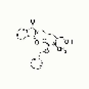 CN(C(=O)OCc1ccccc1)[C@H](CO)CCCN1C(=O)c2ccccc2C1=O